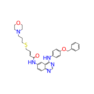 O=C(C=CCSCCCN1CCOCC1)Nc1ccc2ncnc(Nc3ccc(OCc4ccccc4)cc3)c2c1